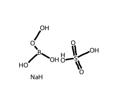 O=S(=O)(O)O.OOB(O)O.[NaH]